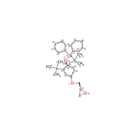 CC(C)(C)c1cc(OC[C@@H]2CO2)c[c]c1O[Si](c1ccccc1)(c1ccccc1)C(C)(C)C